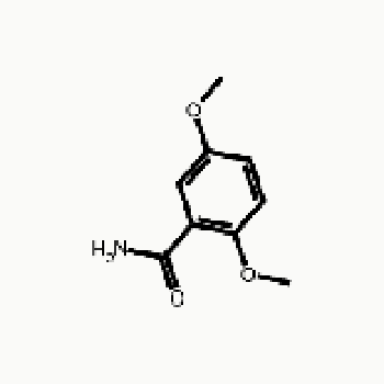 COc1ccc(OC)c(C(N)=O)c1